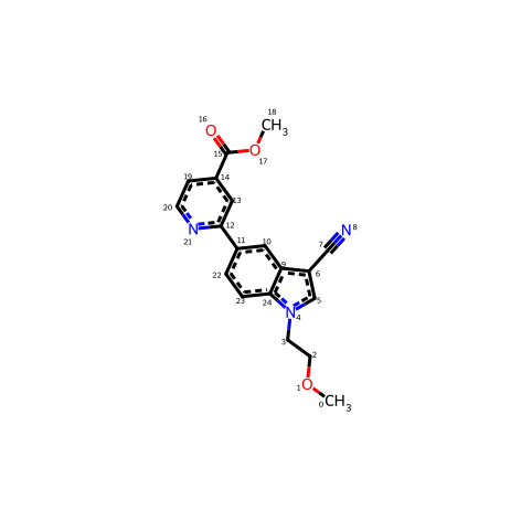 COCCn1cc(C#N)c2cc(-c3cc(C(=O)OC)ccn3)ccc21